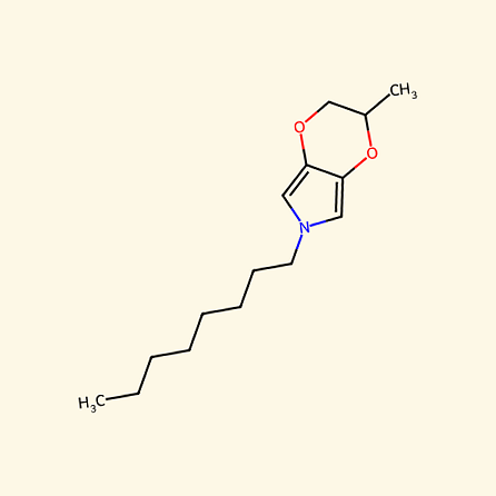 CCCCCCCCn1cc2c(c1)OC(C)CO2